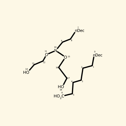 CCCCCCCCCCCCCCCC(=O)O.CCCCCCCCCCCCN(OCCO)OCCO